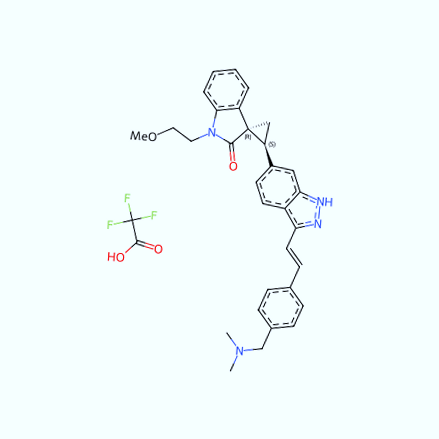 COCCN1C(=O)[C@@]2(C[C@H]2c2ccc3c(C=Cc4ccc(CN(C)C)cc4)n[nH]c3c2)c2ccccc21.O=C(O)C(F)(F)F